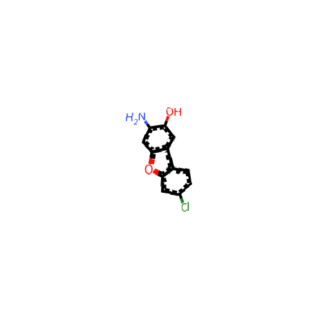 Nc1cc2oc3cc(Cl)ccc3c2cc1O